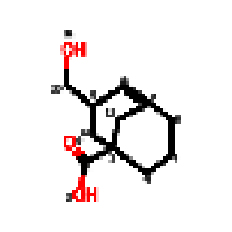 O=C(O)C12CCCC(=CC(CO)C1)C2